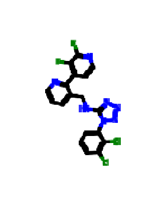 Fc1nccc(-c2ncccc2CNc2nnnn2-c2cccc(Cl)c2Cl)c1F